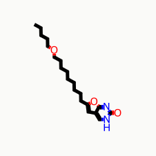 CCCCCOCCCCCCCCCc1cc2c[nH]c(=O)nc2o1